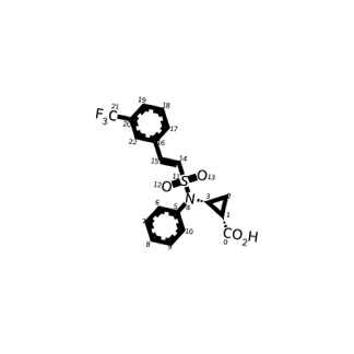 O=C(O)[C@H]1C[C@H]1N(c1ccccc1)S(=O)(=O)C=Cc1cccc(C(F)(F)F)c1